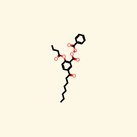 CCCCCCCC(=O)c1ccc(OC(=O)CCC)c(C(=O)OOC(=O)c2ccccc2)c1